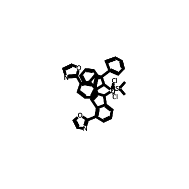 C[SiH](C)[Zr]([Cl])([Cl])([CH]1C(c2ccccc2)=Cc2c(-c3ncco3)cccc21)[CH]1C(c2ccccc2)=Cc2c(-c3ncco3)cccc21